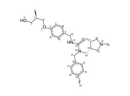 C[C@H](CO)COc1ccc(CNC(=O)N(Cc2ccc(F)cc2)C[C@@H]2CCN(C)C2)cc1